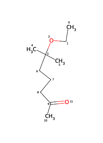 CCOC(C)(C)CCCC(C)=O